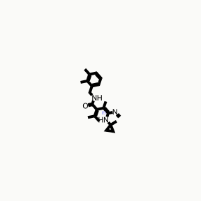 C=N/C(NC1(C)CC1)=C(\C)C(C(=O)NCc1cccc(C)c1C)=C(C)C